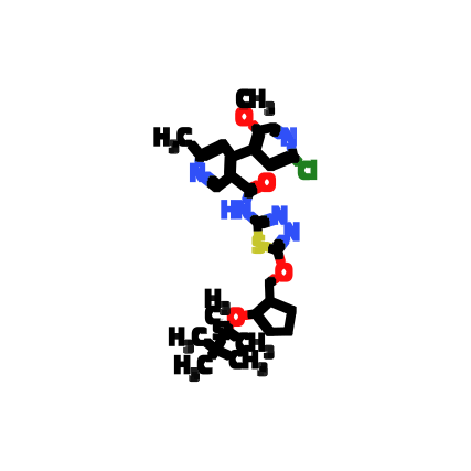 COc1cnc(Cl)cc1-c1cc(C)ncc1C(=O)Nc1nnc(OCC2CCCC2O[Si](C)(C)C(C)(C)C)s1